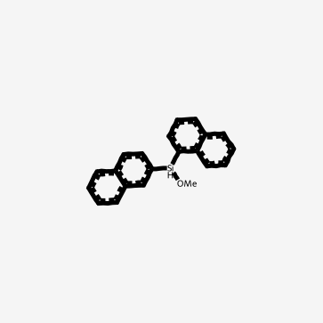 CO[SiH](c1ccc2ccccc2c1)c1cccc2ccccc12